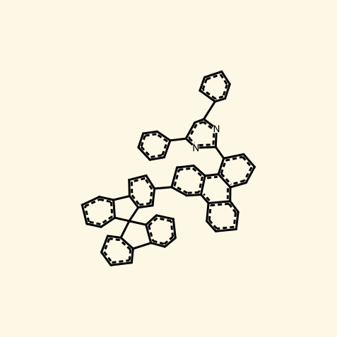 c1ccc(-c2cc(-c3ccccc3)nc(-c3cccc4c5ccccc5c5cc(-c6ccc7c(c6)C6(c8ccccc8-c8ccccc86)c6ccccc6-7)ccc5c34)n2)cc1